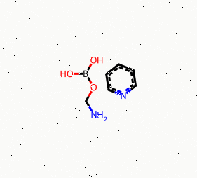 NCOB(O)O.c1ccncc1